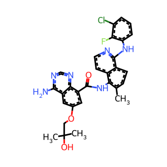 Cc1ccc2c(Nc3cccc(Cl)c3F)nccc2c1NC(=O)c1cc(OCC(C)(C)O)cc2c(N)ncnc12